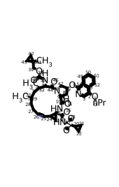 CCCOc1cnc(O[C@@H]2C[C@H]3C(=O)N[C@]4(C(=O)NS(=O)(=O)C5CC5)CC4/C=C\CC[C@@H](C)C[C@@H](C)[C@H](NC(=O)OCC4(C)CC4)C(=O)N3C2)c2ccccc12